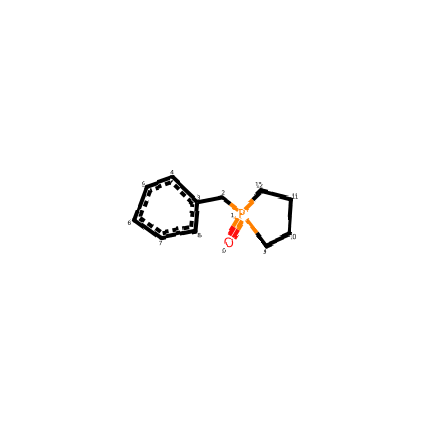 O=P1(Cc2ccccc2)CCCC1